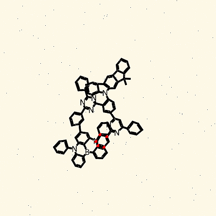 CC1(C)c2ccccc2-c2cc3c4ccccc4n(-c4ccc(-c5cc(-c6ccccc6)nc(-c6ccccc6)n5)cc4-c4nc(-c5ccccc5)nc(-c5cccc(-c6cc7c8c(c6)N(c6ccccc6)c6ccccc6B8c6ccccc6N7c6ccccc6)c5)n4)c3cc21